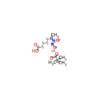 CN(CCCCC(=O)O)[N+]([O-])=NOCOC(=O)C(C)(C)C